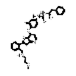 COCCNCc1ccccc1-c1cc2nccc(Oc3ccc(NC(=S)NC(=O)Cc4ccccc4)cc3F)c2s1